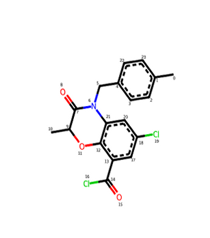 Cc1ccc(CN2C(=O)C(C)Oc3c(C(=O)Cl)cc(Cl)cc32)cc1